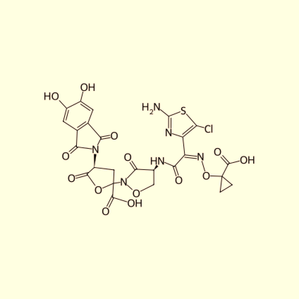 Nc1nc(/C(=N/OC2(C(=O)O)CC2)C(=O)N[C@H]2CON(C3(C(=O)O)C[C@H](N4C(=O)c5cc(O)c(O)cc5C4=O)C(=O)O3)C2=O)c(Cl)s1